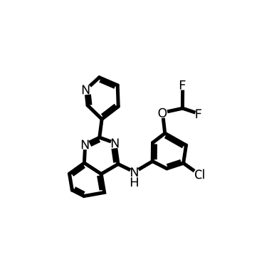 FC(F)Oc1cc(Cl)cc(Nc2nc(-c3cccnc3)nc3ccccc23)c1